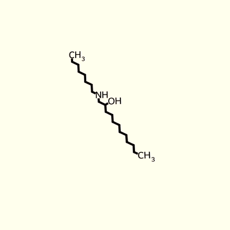 CCCCCCCCCCC(O)CNCCCCCCCC